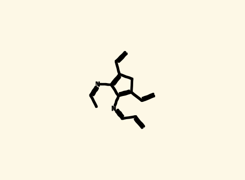 C=C/C=N\C1=C(C=C)CC(C=C)=C1/N=C\C